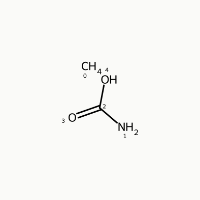 C.NC(=O)O